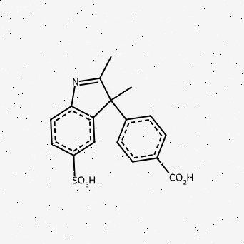 CC1=Nc2ccc(S(=O)(=O)O)cc2C1(C)c1ccc(C(=O)O)cc1